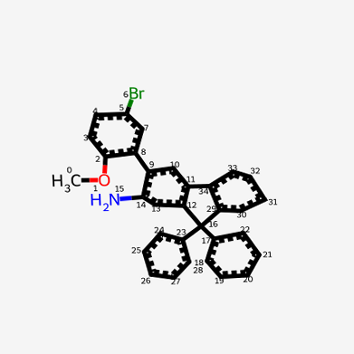 COc1ccc(Br)cc1-c1cc2c(cc1N)C(c1ccccc1)(c1ccccc1)c1ccccc1-2